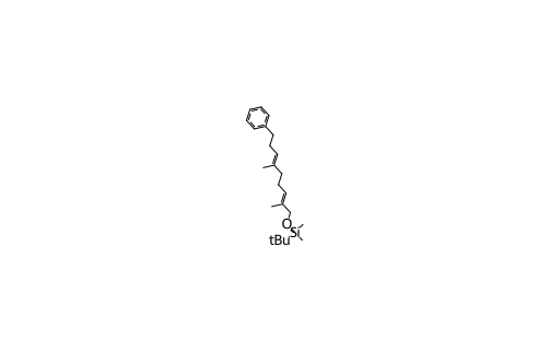 C/C(=C\CCc1ccccc1)CC/C=C(\C)CO[Si](C)(C)C(C)(C)C